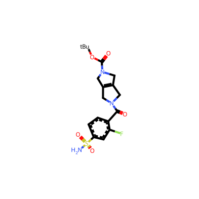 CC(C)(C)OC(=O)N1CC2=C(C1)CN(C(=O)c1ccc(S(N)(=O)=O)cc1F)C2